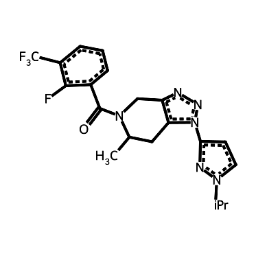 CC1Cc2c(nnn2-c2ccn(C(C)C)n2)CN1C(=O)c1cccc(C(F)(F)F)c1F